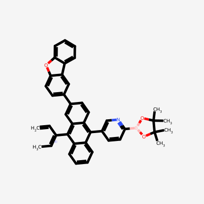 C=C/C(=C\C)c1c2ccccc2c(-c2ccc(B3OC(C)(C)C(C)(C)O3)nc2)c2ccc(-c3ccc4oc5ccccc5c4c3)cc12